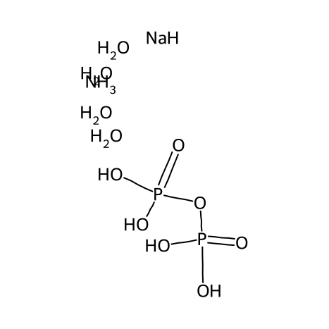 N.O.O.O.O.O=P(O)(O)OP(=O)(O)O.[NaH]